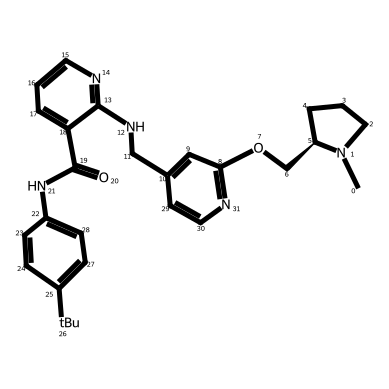 CN1CCC[C@@H]1COc1cc(CNc2ncccc2C(=O)Nc2ccc(C(C)(C)C)cc2)ccn1